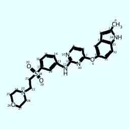 Cc1cc2cc(Oc3ccnc(Nc4cccc(S(=O)(=O)CCN5CCOCC5)c4)n3)ccc2[nH]1